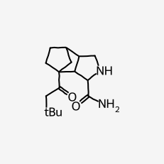 CC(C)(C)CC(=O)C12CCC(C1)C1CNC(C(N)=O)C12